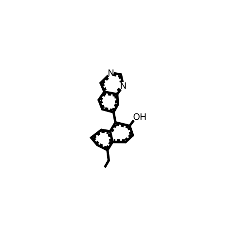 CCc1cccc2c(-c3ccc4cncnc4c3)c(O)ccc12